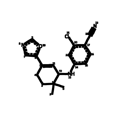 CC1(C)CCC(c2cnco2)=CC1Nc1ccc(C#N)c(Cl)c1